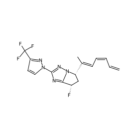 C=C/C=C\C=C(/C)[C@@H]1C[C@H](F)c2nc(-n3ccc(C(F)(F)F)n3)nn21